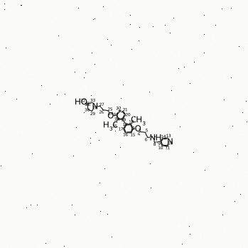 Cc1c(OCCCNCc2ccncc2)cccc1-c1cccc(OCCCN2CC[C@@H](O)C2)c1C